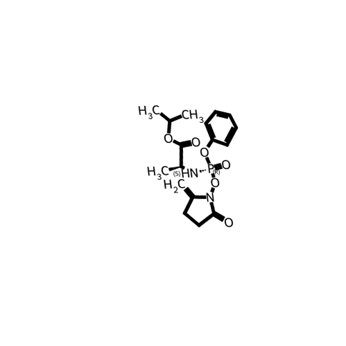 C=C1CCC(=O)N1O[P@@](=O)(N[C@@H](C)C(=O)OC(C)C)Oc1ccccc1